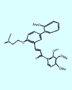 COc1ccccc1-c1ccc(OCCN(C)C)c(C=CC(=O)c2ccc(OC)c(OC)c2OC)c1